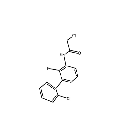 O=C(CCl)Nc1cccc(-c2ccccc2Cl)c1F